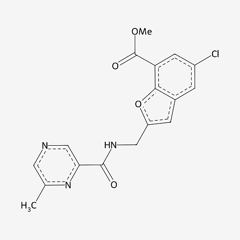 COC(=O)c1cc(Cl)cc2cc(CNC(=O)c3cncc(C)n3)oc12